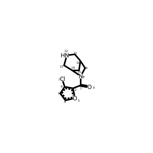 O=C(c1occc1Cl)N1CC2CNCC1C2